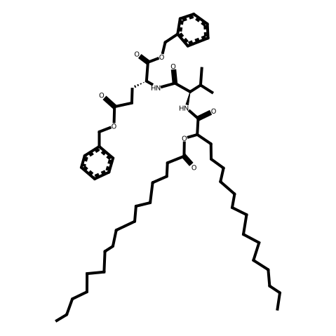 CCCCCCCCCCCCCCCC(=O)OC(CCCCCCCCCCCCCC)C(=O)N[C@@H](C(=O)N[C@H](CCC(=O)OCc1ccccc1)C(=O)OCc1ccccc1)C(C)C